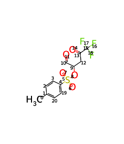 Cc1ccc(S(=O)(=O)OC(C=O)CC(=O)C(F)(F)F)cc1